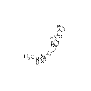 CCNc1nnc(C2CC(Cc3ccc(NC(=O)Cc4ccccn4)nn3)C2)s1